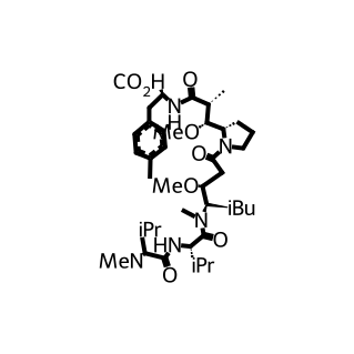 CC[C@H](C)[C@H]([C@@H](CC(=O)N1CCC[C@H]1[C@H](OC)[C@@H](C)C(=O)N[C@@H](Cc1ccc(C)cc1)C(=O)O)OC)N(C)C(=O)[C@@H](NC(=O)[C@@H](NC)C(C)C)C(C)C